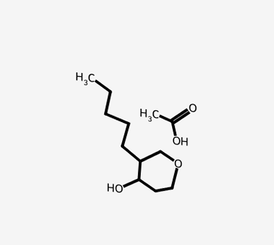 CC(=O)O.CCCCCC1COCCC1O